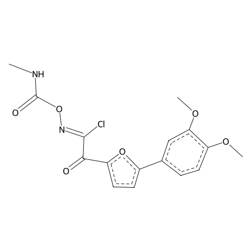 CNC(=O)ON=C(Cl)C(=O)c1ccc(-c2ccc(OC)c(OC)c2)o1